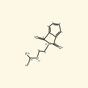 O=C1c2ccccc2C(=O)N1CCOC(F)F